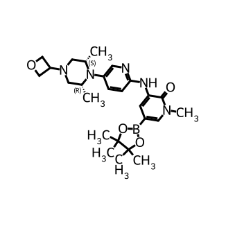 C[C@@H]1CN(C2COC2)C[C@H](C)N1c1ccc(Nc2cc(B3OC(C)(C)C(C)(C)O3)cn(C)c2=O)nc1